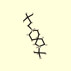 CC(C)(C)CCN1CCC2(CC1)CCN(C(C)(C)C)C2